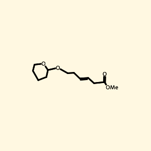 COC(=O)CC=CCCOC1CCCCO1